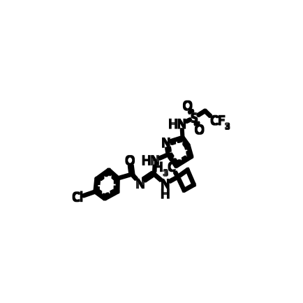 CC1(N/C(=N/C(=O)c2ccc(Cl)cc2)Nc2cccc(NS(=O)(=O)CC(F)(F)F)n2)CCC1